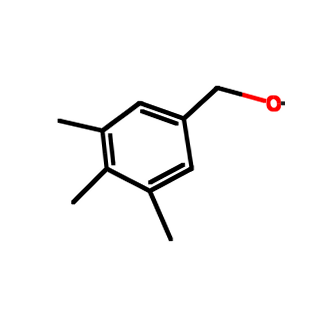 Cc1cc(C[O])cc(C)c1C